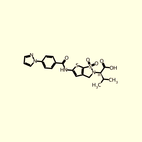 CC(C)[C@H](C(=O)O)N1Cc2cc(NC(=O)c3ccc(-n4cccn4)cc3)sc2S1(=O)=O